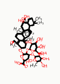 C[C@@H]1O[C@@H](O[C@@H]2C(O[C@@H]3OC(CO)[C@H](O)C(O)[C@@H]3O)[C@H](O[C@H]3CCC4(C)C(CC[C@]5(C)C4CC=C4C6CC(C)(C)CC[C@]6(C(=O)O)[C@H](O)C[C@]45C)[C@@]3(C)C=O)OC(C(=O)O)[C@H]2O)C(O)C(O)[C@H]1O